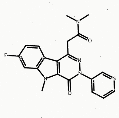 CN(C)C(=O)Cc1nn(-c2cccnc2)c(=O)c2c1c1ccc(F)cc1n2C